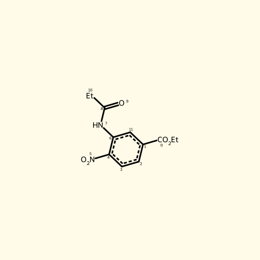 CCOC(=O)c1ccc([N+](=O)[O-])c(NC(=O)CC)c1